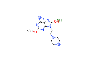 CCCCOc1nc(N)c2nc(O)n(CCN3CCNCC3)c2n1.Cl